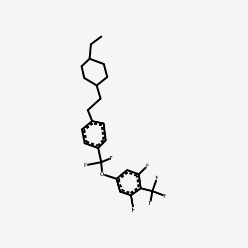 CCC1CCC(CCc2ccc(C(F)(F)Oc3cc(F)c(C(F)(F)F)c(F)c3)cc2)CC1